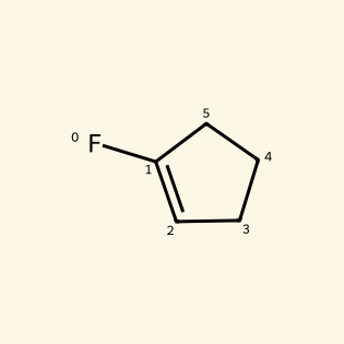 FC1=CCCC1